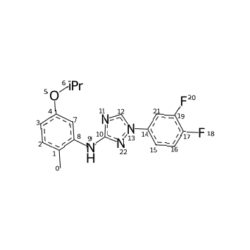 Cc1ccc(OC(C)C)cc1Nc1ncn(-c2ccc(F)c(F)c2)n1